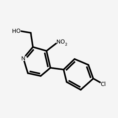 O=[N+]([O-])c1c(-c2ccc(Cl)cc2)ccnc1CO